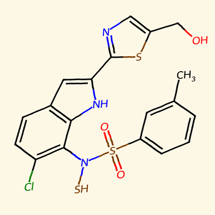 Cc1cccc(S(=O)(=O)N(S)c2c(Cl)ccc3cc(-c4ncc(CO)s4)[nH]c23)c1